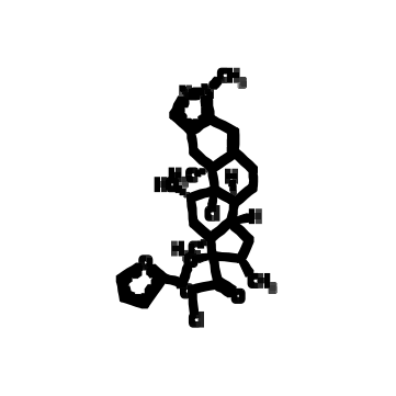 C[C@@H]1C[C@H]2[C@@H]3CCC4=Cc5c(cnn5C)C[C@]4(C)[C@@]3(Cl)[C@@H](O)C[C@]2(C)[C@@]1(OC(=O)c1ccco1)C(=O)CCl